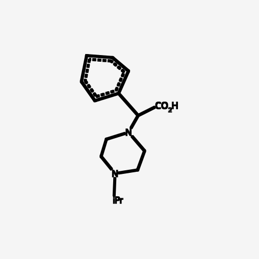 CC(C)N1CCN(C(C(=O)O)c2ccccc2)CC1